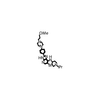 COCCCN1CCN(c2ccc(-c3nc4c(NC5CCN(C(C)C)CC5)c(Br)cnc4[nH]3)cc2)CC1